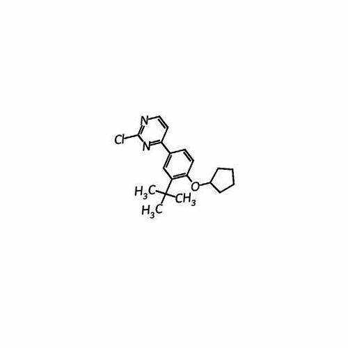 CC(C)(C)c1cc(-c2ccnc(Cl)n2)ccc1OC1CCCC1